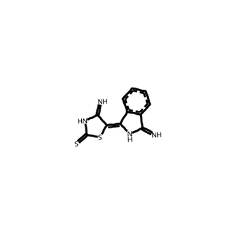 N=C1NC(=S)SC1=C1NC(=N)c2ccccc21